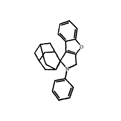 c1ccc(N2Cc3oc4ccccc4c3C23C2CC4CC(C2)CC3C4)cc1